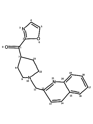 O=C(c1ncco1)C1CCN(Cc2ccc3ccccc3n2)CC1